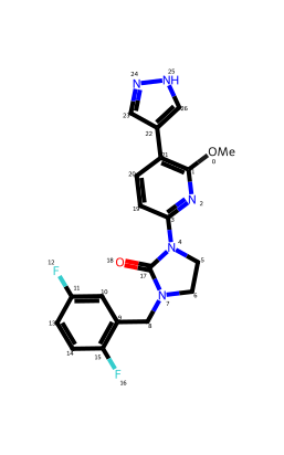 COc1nc(N2CCN(Cc3cc(F)ccc3F)C2=O)ccc1-c1cn[nH]c1